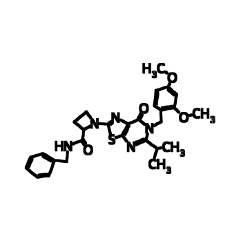 COc1ccc(Cn2c(C(C)C)nc3sc(N4CCC4C(=O)NCc4ccccc4)nc3c2=O)c(OC)c1